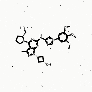 COc1cc(-n2cnc(Nc3nc(N4CCC[C@H]4CO)c4c(C)nn([C@H]5C[C@@H](O)C5)c4n3)c2)cc(OC)c1OC